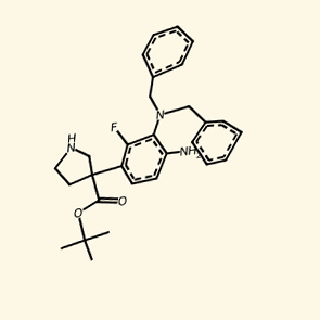 CC(C)(C)OC(=O)C1(c2ccc(N)c(N(Cc3ccccc3)Cc3ccccc3)c2F)CCNC1